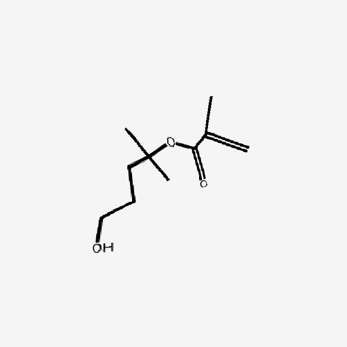 C=C(C)C(=O)OC(C)(C)CCCO